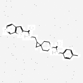 Cc1ccc(NC(=O)N2CCC3(CC2)CC3CNC(=O)c2cc3ccncc3o2)cc1